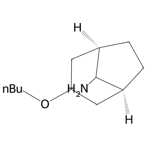 CCCCOC1C[C@H]2CC[C@@H](C1)C2N